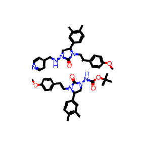 COc1ccc(CCN2C(=O)N(NC(=O)OC(C)(C)C)CC2c2ccc(C)c(C)c2)cc1.COc1ccc(CCN2C(=O)N(NCc3ccncc3)CC2c2ccc(C)c(C)c2)cc1